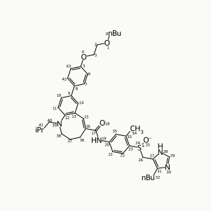 CCCCOCCOc1ccc(-c2ccc3c(c2)C=C(C(=O)Nc2ccc([S+]([O-])Cc4[nH]cnc4CCCC)c(C)c2)CCCN3CC(C)C)cc1